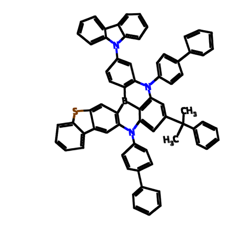 CC(C)(c1ccccc1)c1cc2c3c(c1)N(c1ccc(-c4ccccc4)cc1)c1cc4c(cc1B3c1ccc(-n3c5ccccc5c5ccccc53)cc1N2c1ccc(-c2ccccc2)cc1)sc1ccccc14